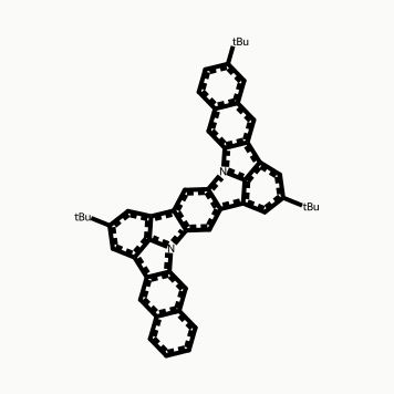 CC(C)(C)c1ccc2cc3c(cc2c1)c1cc(C(C)(C)C)cc2c4cc5c(cc4n3c12)c1cc(C(C)(C)C)cc2c3cc4ccccc4cc3n5c21